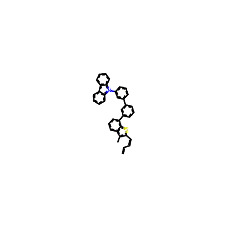 C=C/C=C\c1sc2c(-c3cccc(-c4cccc(-n5c6ccccc6c6ccccc65)c4)c3)cccc2c1C